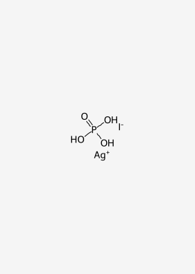 O=P(O)(O)O.[Ag+].[I-]